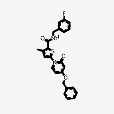 Cc1cc(-n2ccc(OCc3ccccc3)cc2=O)sc1C(=O)NCc1cccc(F)c1